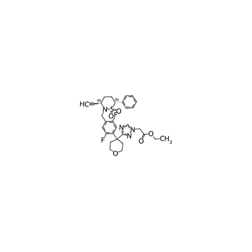 C#C[C@H]1CC[C@H](c2ccccc2)S(=O)(=O)N1Cc1cc(F)c(C2(c3ncn(CC(=O)OCC)n3)CCOCC2)cc1F